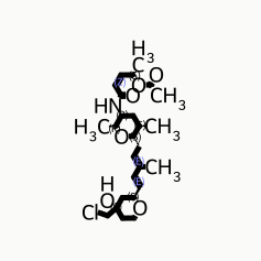 CC(=O)O[C@@H](C)/C=C\C(=O)N[C@@H]1C[C@H](C)[C@H](C/C=C(C)/C=C/[C@@H]2C[C@](O)(CCl)CCO2)O[C@@H]1C